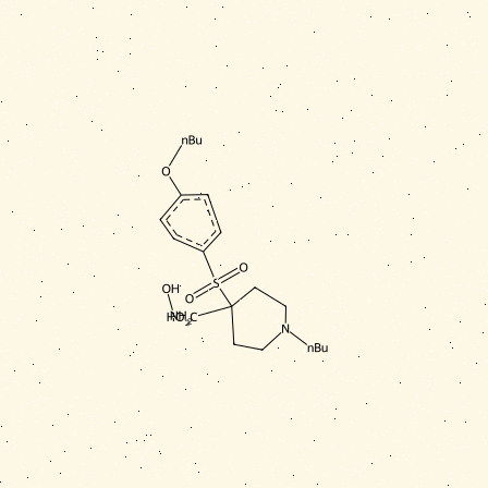 CCCCOc1ccc(S(=O)(=O)C2(C(=O)O)CCN(CCCC)CC2)cc1.NO